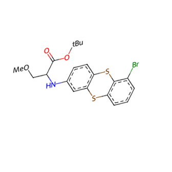 COCC(Nc1ccc2c(c1)Sc1cccc(Br)c1S2)C(=O)OC(C)(C)C